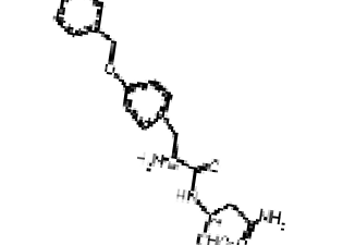 NC(=O)C[C@@H]([C]=O)NC(=O)[C@@H](N)Cc1ccc(OCc2ccccc2)cc1